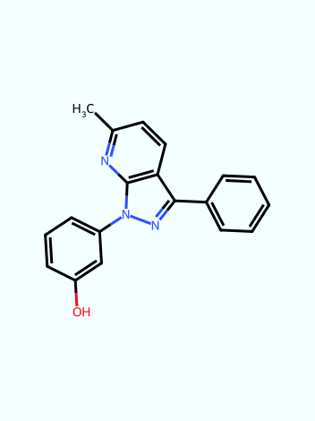 Cc1ccc2c(-c3ccccc3)nn(-c3cccc(O)c3)c2n1